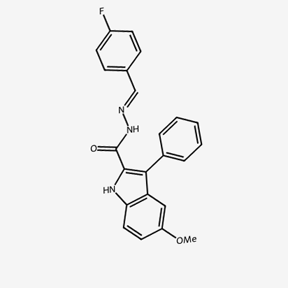 COc1ccc2[nH]c(C(=O)NN=Cc3ccc(F)cc3)c(-c3ccccc3)c2c1